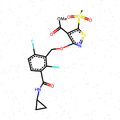 COC(=O)c1c(OCc2c(F)ccc(C(=O)NC3CC3)c2F)nsc1S(C)(=O)=O